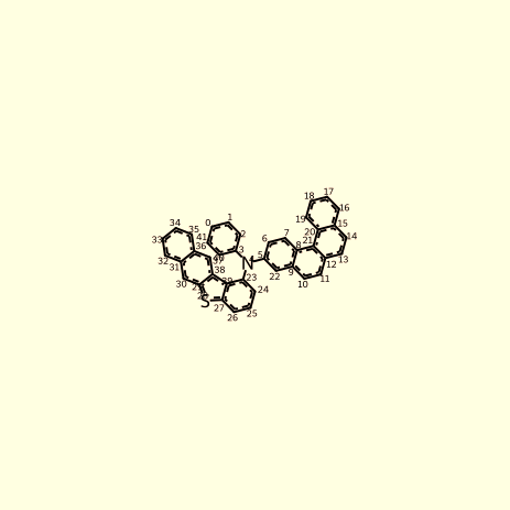 c1ccc(N(c2ccc3c(ccc4ccc5ccccc5c43)c2)c2cccc3sc4cc5ccccc5cc4c23)cc1